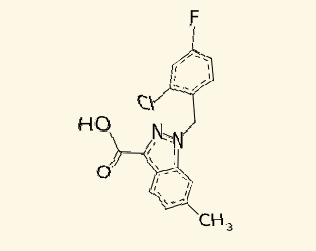 Cc1ccc2c(C(=O)O)nn(Cc3ccc(F)cc3Cl)c2c1